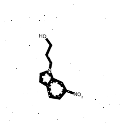 O=[N+]([O-])c1ccc2ccn(CCCO)c2c1